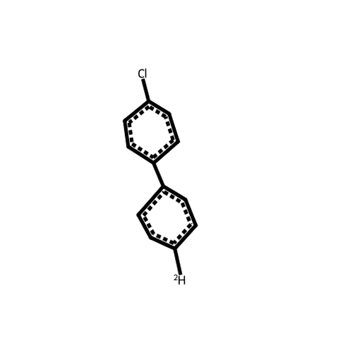 [2H]c1ccc(-c2ccc(Cl)cc2)cc1